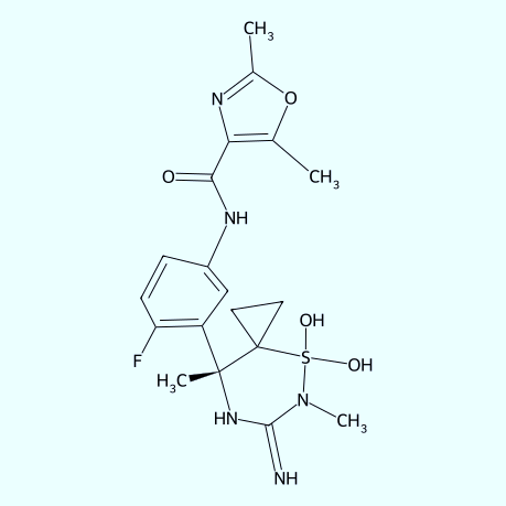 Cc1nc(C(=O)Nc2ccc(F)c([C@@]3(C)NC(=N)N(C)S(O)(O)C34CC4)c2)c(C)o1